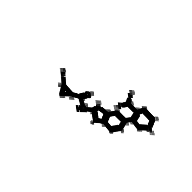 O=C(Nc1nc2ccc(-c3cnccc3C(F)F)cc2s1)C1CC1F